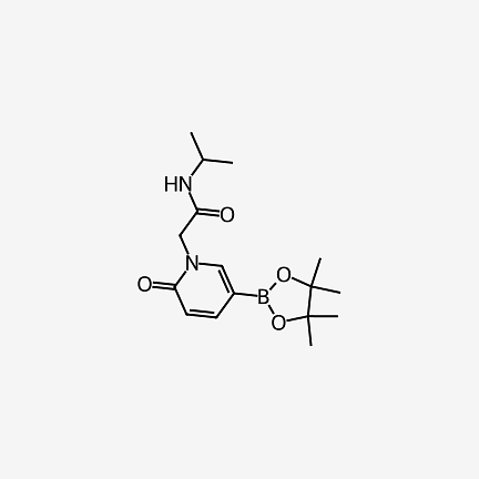 CC(C)NC(=O)Cn1cc(B2OC(C)(C)C(C)(C)O2)ccc1=O